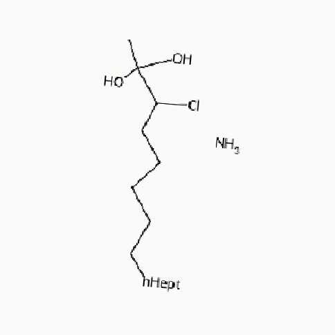 CCCCCCCCCCCCC(Cl)C(C)(O)O.N